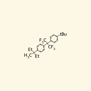 CCC(C)(CC)c1ccc(C(c2ccc(C(C)(C)C)cc2)(C(F)(F)F)C(F)(F)F)cc1